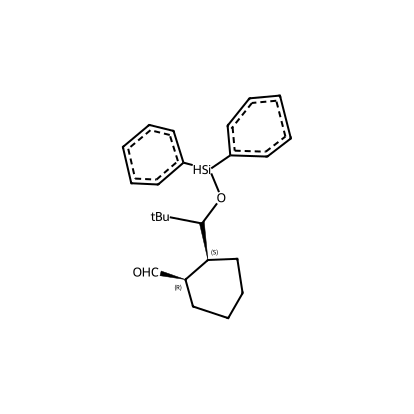 CC(C)(C)C(O[SiH](c1ccccc1)c1ccccc1)[C@H]1CCCC[C@H]1C=O